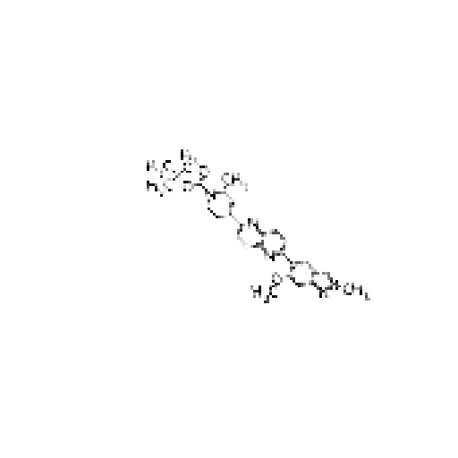 COc1cc2nn(C)cc2cc1-c1ccc2nc(C3=CC(C)N(C(=O)OC(C)(C)C)CC3)ccc2n1